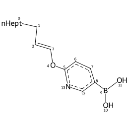 CCCCCCCC/C=C/Oc1ccc(B(O)O)cn1